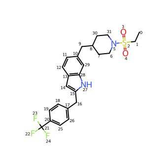 CCS(=O)(=O)N1CCC(Cc2ccc3cc(Cc4ccc(C(F)(F)F)cc4)[nH]c3c2)CC1